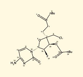 CCCCC(=O)CC[C@@]1(CCl)O[C@@H](n2ccc(N)nc2=O)[C@H](F)[C@@H]1OC(=O)CCCC